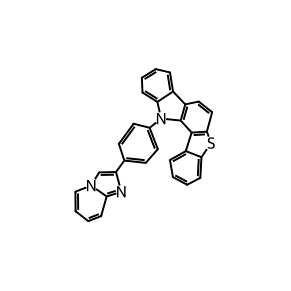 c1ccc2c(c1)sc1ccc3c4ccccc4n(-c4ccc(-c5cn6ccccc6n5)cc4)c3c12